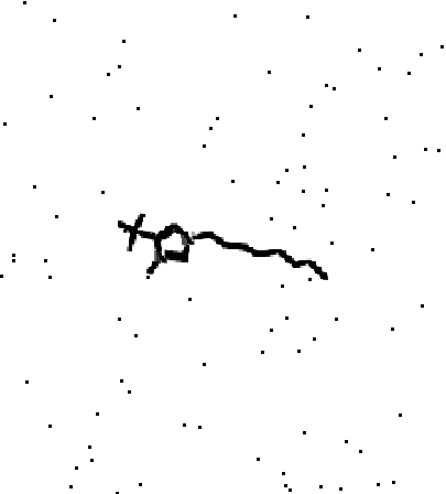 CCCCCCCCn1cc(C(C)(C)C)[n+](C)c1